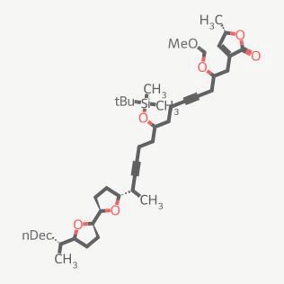 CCCCCCCCCC[C@@H](C)C1CC[C@H]([C@H]2CC[C@H](C(C)C#CCCC(CCC#CCC(CC3=C[C@H](C)OC3=O)OCOC)O[Si](C)(C)C(C)(C)C)O2)O1